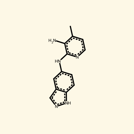 Cc1ccnc(Nc2ccc3[nH]ncc3c2)c1N